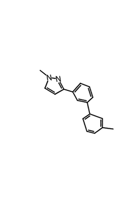 Cc1cccc(-c2cccc(-c3ccn(C)n3)c2)c1